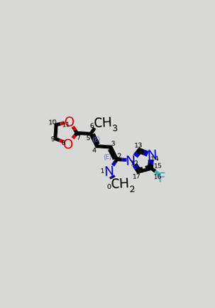 C=N/C(=C\C=C(/C)C1OCCO1)n1cnc(F)c1